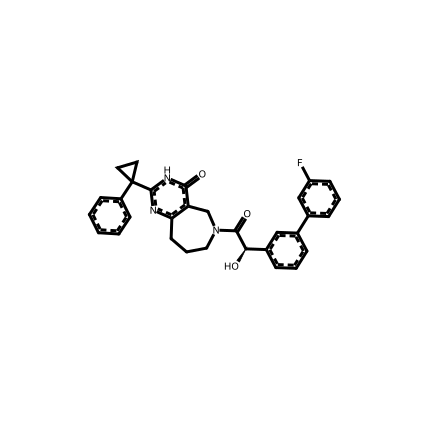 O=C([C@H](O)c1cccc(-c2cccc(F)c2)c1)N1CCCc2nc(C3(c4ccccc4)CC3)[nH]c(=O)c2C1